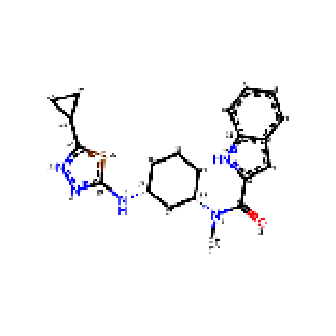 CCN(C(=O)c1cc2ccccc2[nH]1)[C@H]1CCC[C@@H](Nc2nnc(C3CC3)s2)C1